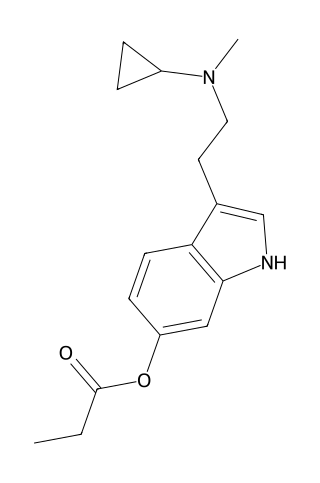 CCC(=O)Oc1ccc2c(CCN(C)C3CC3)c[nH]c2c1